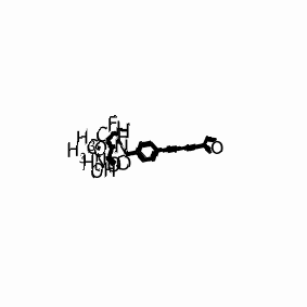 COC(C)(C(F)F)C(NC(=O)c1ccc(C#CC#Cc2ccoc2)cc1)C(=O)NO